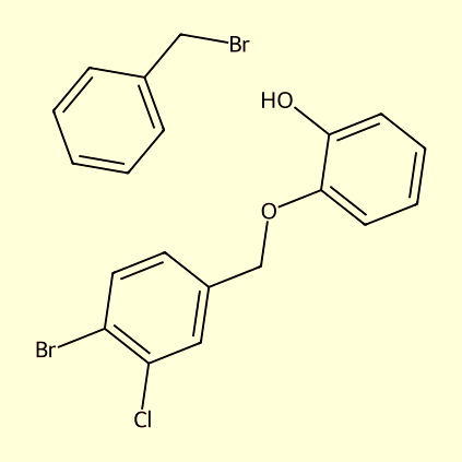 BrCc1ccccc1.Oc1ccccc1OCc1ccc(Br)c(Cl)c1